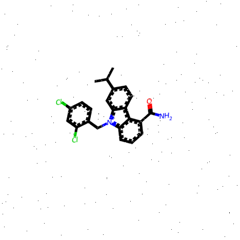 CC(C)c1c[c]c2c3c(C(N)=O)cccc3n(Cc3ccc(Cl)cc3Cl)c2c1